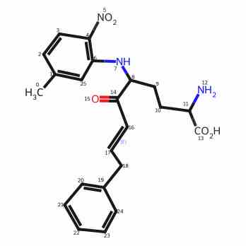 Cc1ccc([N+](=O)[O-])c(NC(CCC(N)C(=O)O)C(=O)/C=C/Cc2ccccc2)c1